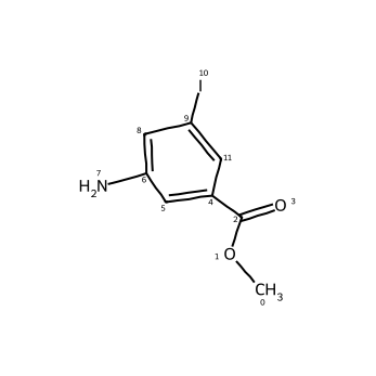 COC(=O)c1cc(N)cc(I)c1